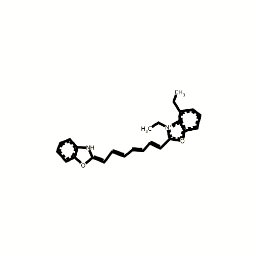 CCc1cccc2oc(C=CC=CC=CC=C3Nc4ccccc4O3)[n+](CC)c12